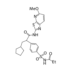 CCC(=O)NS(=O)(=O)c1ccc(C(CC2CCCC2)C(=O)Nc2nc3ccc(OC)nc3s2)cc1